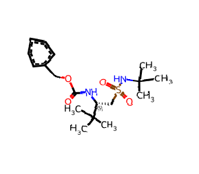 CC(C)(C)NS(=O)(=O)C[C@@H](NC(=O)OCc1ccccc1)C(C)(C)C